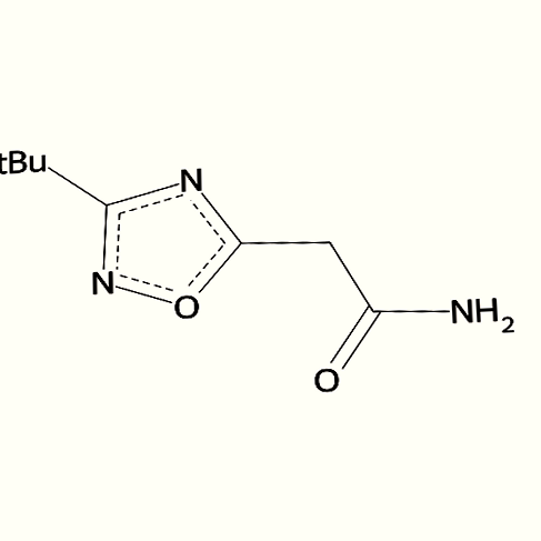 CC(C)(C)c1noc(CC(N)=O)n1